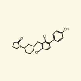 O=C1CCCN1C1CCCC(Cc2c(Cl)ccc(-c3ccc(O)cc3)c2Cl)C1